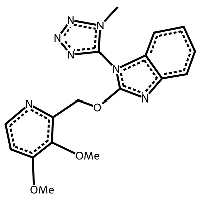 COc1ccnc(COc2nc3ccccc3n2-c2nnnn2C)c1OC